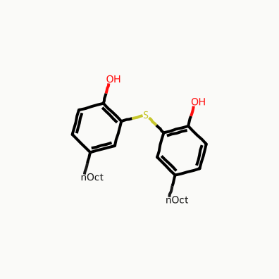 CCCCCCCCc1ccc(O)c(Sc2cc(CCCCCCCC)ccc2O)c1